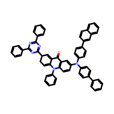 O=c1c2c(n(-c3ccccc3)c3ccc(N(c4ccc(-c5ccccc5)cc4)c4ccc(-c5ccc6ccccc6c5)cc4)cc13)=CCC(c1nc(-c3ccccc3)nc(-c3ccccc3)n1)C=2